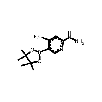 CC1(C)OB(c2cnc(NN)cc2C(F)(F)F)OC1(C)C